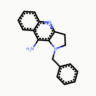 Nc1c2c(nc3ccccc13)CCN2Cc1ccccc1